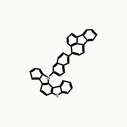 c1ccc2c(c1)-c1cccc3c(-c4ccc5cc(-n6c7ccccc7c7ccc8sc9ccccc9c8c76)ccc5c4)ccc-2c13